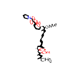 CO[C@@H](C[C@@H]1CCC[C@](O)(C(=O)C(=O)N2CCCCC2)O1)/C(C)=C/C=C/C=C/C(C)C[C@@H](C)C(=O)C[C@H](O)/C(C)=C/[C@@H](C)C=O